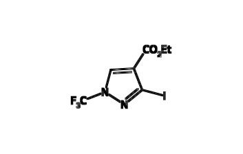 CCOC(=O)c1cn(C(F)(F)F)nc1I